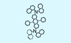 C1=CC2=C(CC1)C(N(c1ccc3c(-c4ccccc4)c4cc(N(c5cccc6ccccc56)c5cccc6ccccc56)ccc4c(-c4ccccc4)c3c1)c1cccc3ccccc13)=CCC2